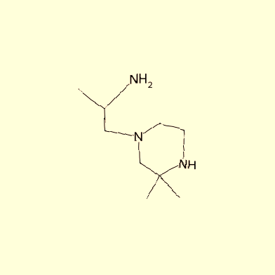 CC(N)CN1CCNC(C)(C)C1